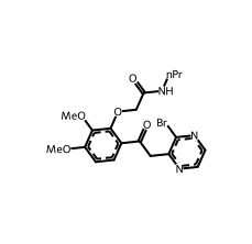 CCCNC(=O)COc1c(C(=O)Cc2nccnc2Br)ccc(OC)c1OC